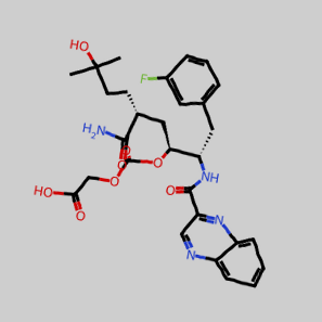 CC(C)(O)CC[C@H](C[C@H](OC(=O)OCC(=O)O)[C@H](Cc1cccc(F)c1)NC(=O)c1cnc2ccccc2n1)C(N)=O